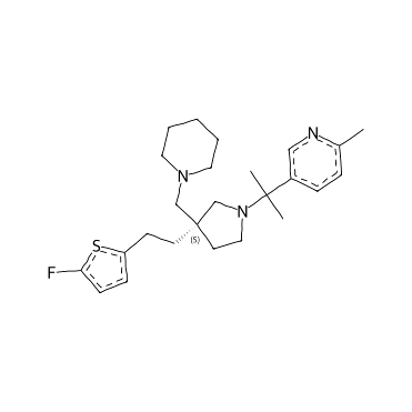 Cc1ccc(C(C)(C)N2CC[C@@](CCc3ccc(F)s3)(CN3CCCCC3)C2)cn1